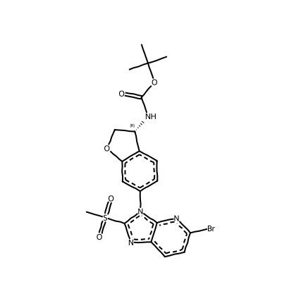 CC(C)(C)OC(=O)N[C@H]1COc2cc(-n3c(S(C)(=O)=O)nc4ccc(Br)nc43)ccc21